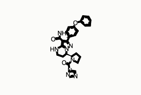 NC(=O)c1c(-c2ccc(Oc3ccccc3)cc2)nn2c1NCCC2[C@H]1CCCN1C(=O)n1cncn1